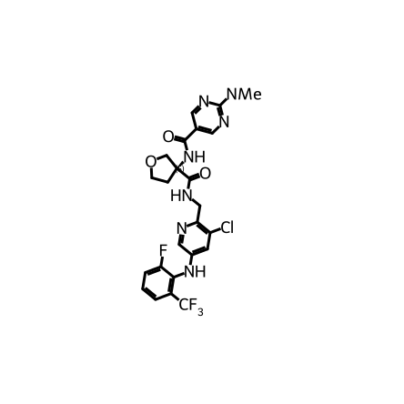 CNc1ncc(C(=O)N[C@@]2(C(=O)NCc3ncc(Nc4c(F)cccc4C(F)(F)F)cc3Cl)CCOC2)cn1